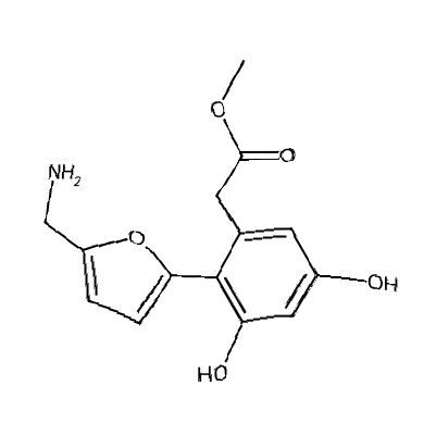 COC(=O)Cc1cc(O)cc(O)c1-c1ccc(CN)o1